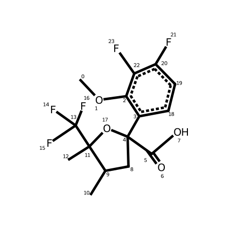 COc1c(C2(C(=O)O)CC(C)C(C)(C(F)(F)F)O2)ccc(F)c1F